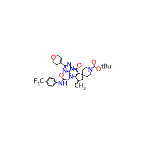 C[C@@H]1CC2(CCN(C(=O)OC(C)(C)C)CC2)c2c1n(CC(=O)Nc1ccc(C(F)(F)F)cc1)c1nc(C3=CCOCC3)nn1c2=O